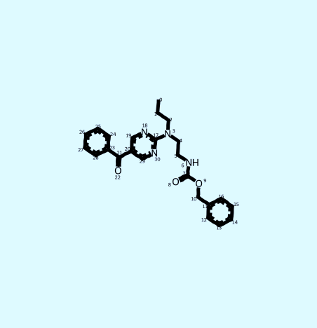 CCCN(CCNC(=O)OCc1ccccc1)c1ncc(C(=O)c2ccccc2)cn1